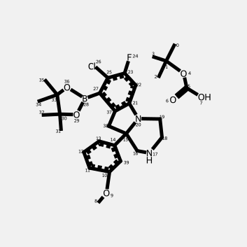 CC(C)(C)OC(=O)O.COc1cccc(C23CNCCN2c2cc(F)c(Cl)c(B4OC(C)(C)C(C)(C)O4)c2C3)c1